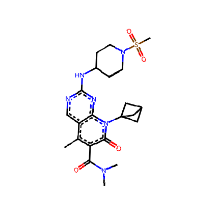 Cc1c(C(=O)N(C)C)c(=O)n(C23CC(C2)C3)c2nc(NC3CCN(S(C)(=O)=O)CC3)ncc12